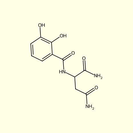 NC(=O)CC(NC(=O)c1cccc(O)c1O)C(N)=O